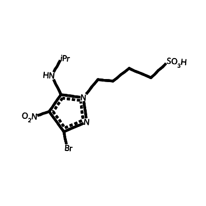 CC(C)Nc1c([N+](=O)[O-])c(Br)nn1CCCCS(=O)(=O)O